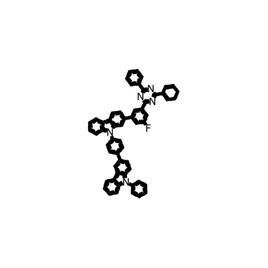 Fc1cc(-c2ccc3c4ccccc4n(-c4ccc(-c5ccc6c(c5)c5ccccc5n6-c5ccccc5)cc4)c3c2)cc(-c2nc(C3=CCCC=C3)nc(-c3ccccc3)n2)c1